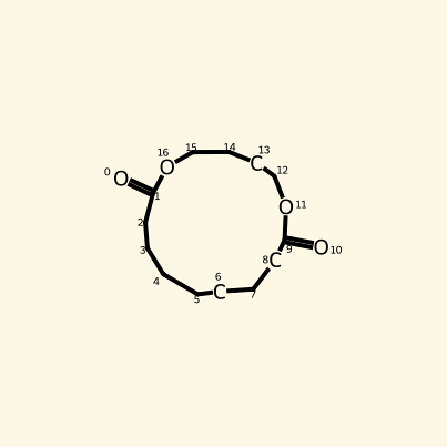 O=C1CCCCCCCC(=O)OCCCCO1